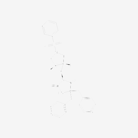 O=C1N([C@H]2[C@@H]3CN(S(=O)(=O)c4ccccc4)C[C@@H]32)C(=S)NC1(Cc1ccncc1)Cc1ccncc1